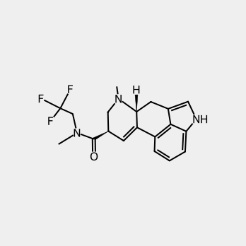 CN(CC(F)(F)F)C(=O)[C@@H]1C=C2c3cccc4[nH]cc(c34)C[C@H]2N(C)C1